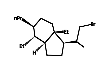 CCC[C@H]1CC[C@]2(CC)[C@@H](C(C)CBr)CC[C@H]2[C@@H]1CC